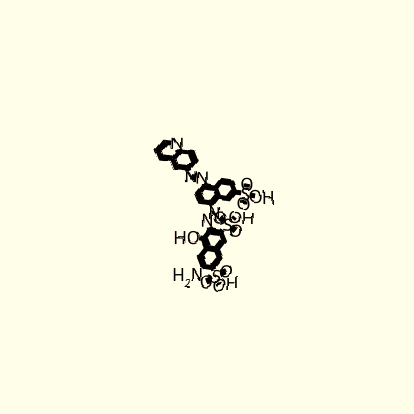 Nc1cc2c(O)c(N=Nc3ccc(N=Nc4ccc5ncccc5c4)c4ccc(S(=O)(=O)O)cc34)c(S(=O)(=O)O)cc2cc1S(=O)(=O)O